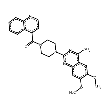 COc1cc2nc(N3CCN(C(=O)c4ccnc5ccccc45)CC3)nc(N)c2cc1OC